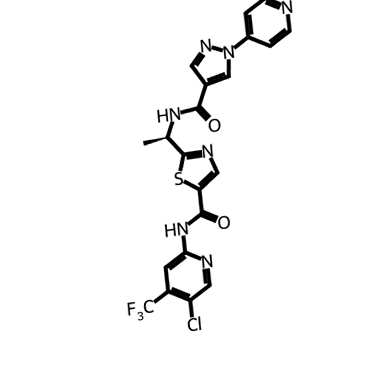 C[C@@H](NC(=O)c1cnn(-c2ccncc2)c1)c1ncc(C(=O)Nc2cc(C(F)(F)F)c(Cl)cn2)s1